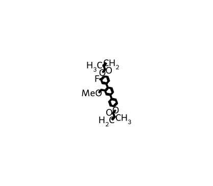 C=C(C)C(=O)Oc1ccc(-c2ccc(-c3ccc(OC(=O)C(=C)C)c(F)c3)c(COC)c2)cc1